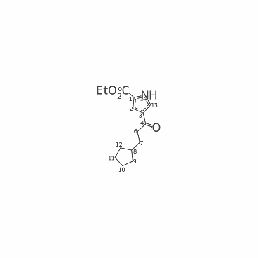 CCOC(=O)c1cc(C(=O)CCC2CCCC2)c[nH]1